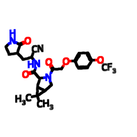 CC1(C)C2CN(C(=O)COc3ccc(OC(F)(F)F)cc3)C(C(=O)NC(C#N)CC3CCNC3=O)C21